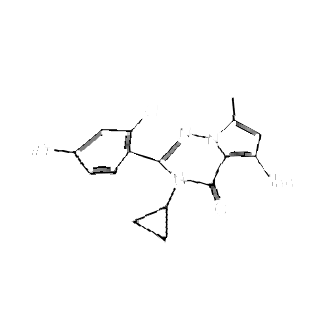 CCC(C)c1cc(C)n2nc(-c3ccc(C(C)C)cc3Cl)n(C3CC3)c(=O)c12